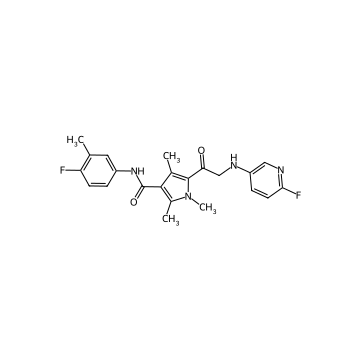 Cc1cc(NC(=O)c2c(C)c(C(=O)CNc3ccc(F)nc3)n(C)c2C)ccc1F